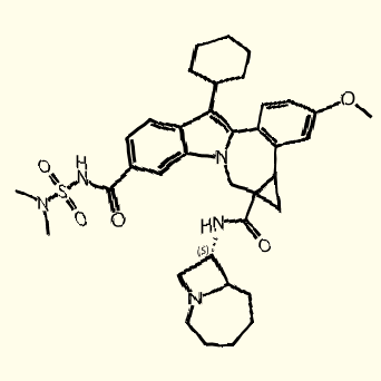 COc1ccc2c(c1)C1CC1(C(=O)N[C@H]1CN3CCCCCC13)Cn1c-2c(C2CCCCC2)c2ccc(C(=O)NS(=O)(=O)N(C)C)cc21